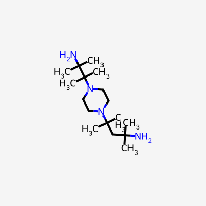 CC(C)(N)CC(C)(C)N1CCN(C(C)(C)C(C)(C)N)CC1